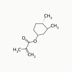 C=C(C)C(=O)OC1CC[C@H](C)C(C)C1